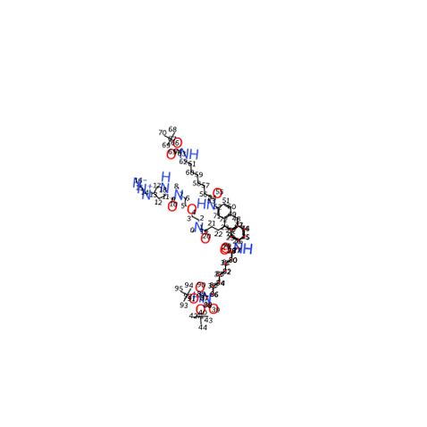 CN(CCOCCN(C)C(=O)[C@@H]1CC(N=[N+]=[N-])CN1)C(=O)CCC12c3cc(NC(=O)CCCCCCCNC(=O)OC(C)(C)C)ccc3C(c3ccc(NC(=O)CCCCCCCNC(=O)OC(C)(C)C)cc31)c1ccc(NC(=O)CCCCCCCN(C)C(=O)OC(C)(C)C)cc12